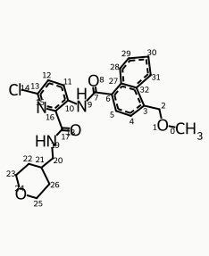 COCc1ccc(C(=O)Nc2ccc(Cl)nc2C(=O)NCC2CCOCC2)c2ccccc12